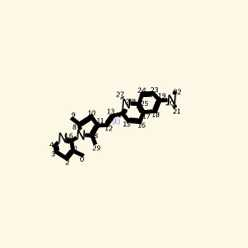 Cc1cccnc1-n1c(C)cc(/C=C/c2ccc3cc(N(C)C)ccc3[n+]2C)c1C